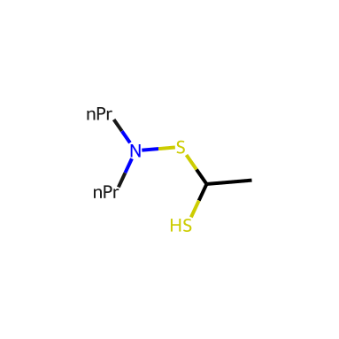 CCCN(CCC)SC(C)S